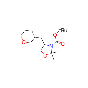 CC(C)(C)OC(=O)N1C(CC2CCCOC2)COC1(C)C